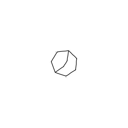 [CH]1CCC2[CH]CC1CC2